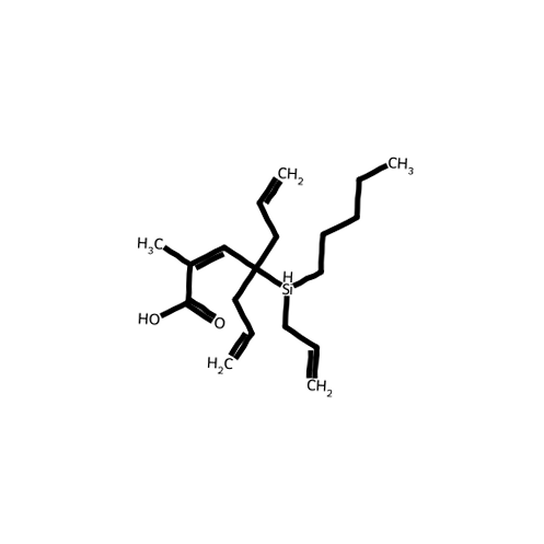 C=CC[SiH](CCCCC)C(C=C(C)C(=O)O)(CC=C)CC=C